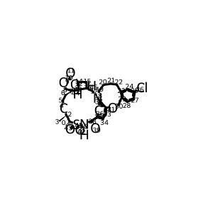 C[C@@H]1[C@@H](C)CCC[C@]2(COC(=O)O2)[C@@H]2CC[C@H]2CN2CCCCc3cc(Cl)ccc3COc3ccc(cc32)C(=O)NS1(=O)=O